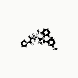 COc1cccc(-c2nnc(NS(=O)(=O)C(C)C(=O)N3CCCC3)n2-c2c(OC)cccc2OC)n1